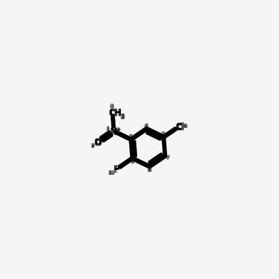 C[N+](=O)c1cc(Cl)ccc1F